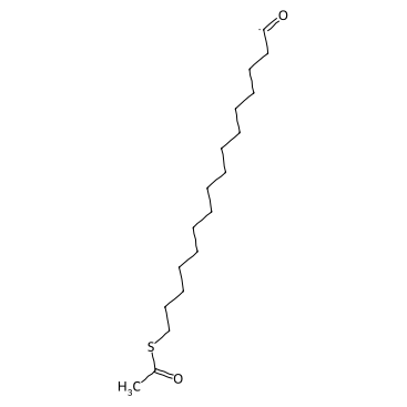 CC(=O)SCCCCCCCCCCCCCCC[C]=O